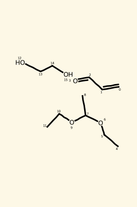 C=CC=O.CCOC(C)OCC.OCCO